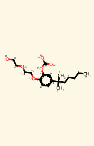 CCCCCC(C)(C)c1ccc(OCCOCCO)c(OC(=O)O)c1